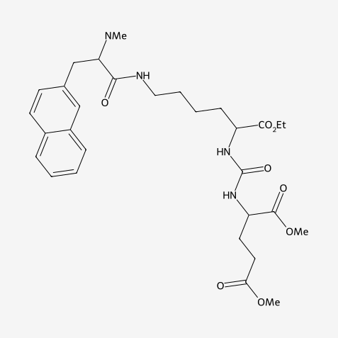 CCOC(=O)C(CCCCNC(=O)C(Cc1ccc2ccccc2c1)NC)NC(=O)NC(CCC(=O)OC)C(=O)OC